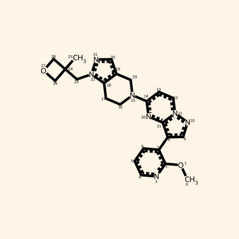 COc1ncccc1-c1cnn2ccc(N3CCc4c(cnn4CC4(C)COC4)C3)nc12